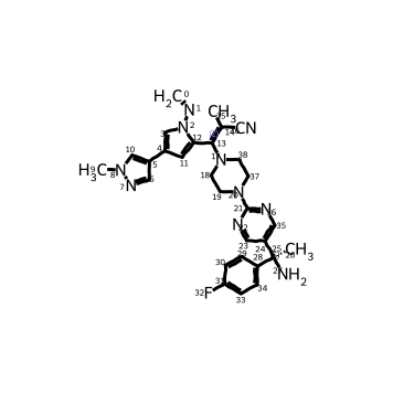 C=Nn1cc(-c2cnn(C)c2)cc1/C(=C(\C)C#N)N1CCN(c2ncc([C@@](C)(N)c3ccc(F)cc3)cn2)CC1